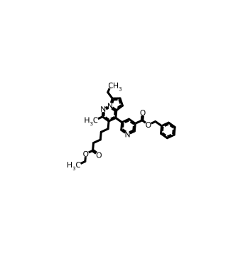 CCOC(=O)CCCCc1c(C)nn2c(CC)ccc2c1-c1cncc(C(=O)OCc2ccccc2)c1